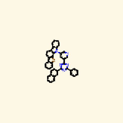 c1ccc(-c2nc(-c3cncc(-n4c5ccccc5c5ccc6c7ccccc7sc6c54)c3)nc(-c3ccc4ccccc4c3)n2)cc1